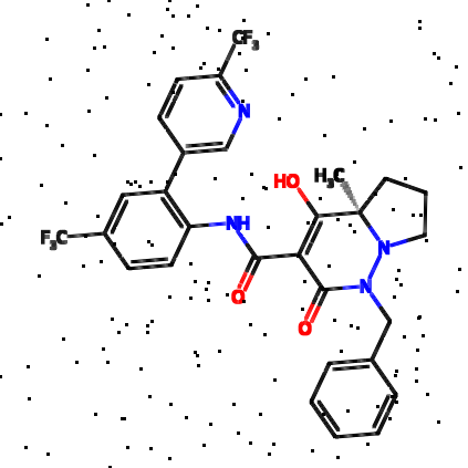 C[C@]12CCCN1N(Cc1ccccc1)C(=O)C(C(=O)Nc1ccc(C(F)(F)F)cc1-c1ccc(C(F)(F)F)nc1)=C2O